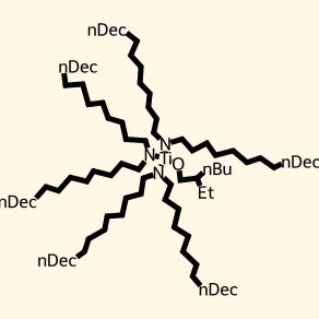 CCCCCCCCCCCCCCCCCC[N](CCCCCCCCCCCCCCCCCC)[Ti]([O]CC(CC)CCCC)([N](CCCCCCCCCCCCCCCCCC)CCCCCCCCCCCCCCCCCC)[N](CCCCCCCCCCCCCCCCCC)CCCCCCCCCCCCCCCCCC